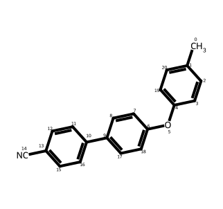 Cc1ccc(Oc2ccc(-c3ccc(C#N)cc3)cc2)cc1